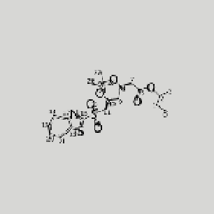 CCC(C)OC(=O)C[C@H]1C[C@@H](CS(=O)(=O)c2nc3ccccc3s2)OC(C)(C)O1